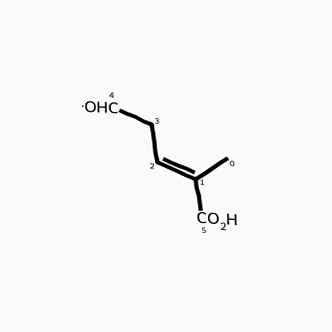 CC(=CC[C]=O)C(=O)O